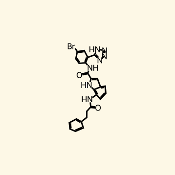 O=C(CCc1ccccc1)Nc1cccc2cc(C(=O)Nc3ccc(Br)cc3-c3nnn[nH]3)[nH]c12